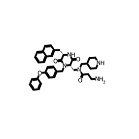 NCCC(=O)N(CC1CCNCC1)C[C@H]1C(=O)N[C@@H](Cc2ccc3ccccc3c2)C(=O)N1Cc1ccc(Oc2ccccc2)cc1